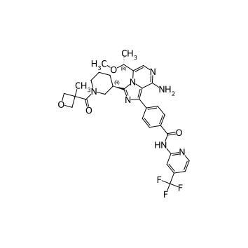 CO[C@H](C)c1cnc(N)c2c(-c3ccc(C(=O)Nc4cc(C(F)(F)F)ccn4)cc3)nc([C@@H]3CCCN(C(=O)C4(C)COC4)C3)n12